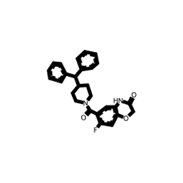 O=C1COc2cc(F)c(C(=O)N3CCC(C(c4ccccc4)c4ccccc4)CC3)cc2N1